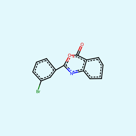 O=c1oc(-c2cccc(Br)c2)nc2ccccc12